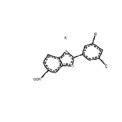 O=C([O-])c1ccc2nc(-c3cc(Cl)cc(Cl)c3)oc2c1.[K+]